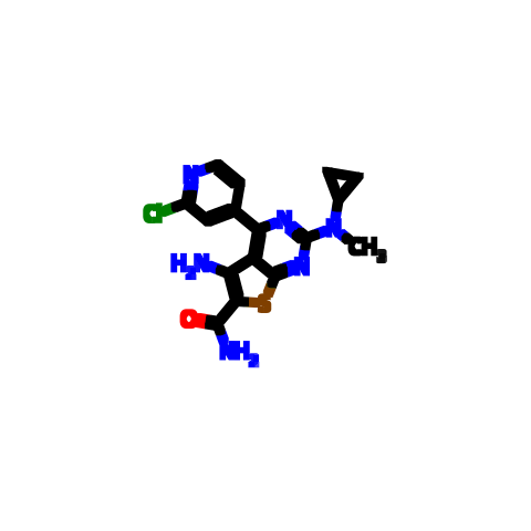 CN(c1nc(-c2ccnc(Cl)c2)c2c(N)c(C(N)=O)sc2n1)C1CC1